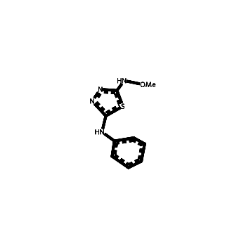 CONc1nnc(Nc2ccccc2)s1